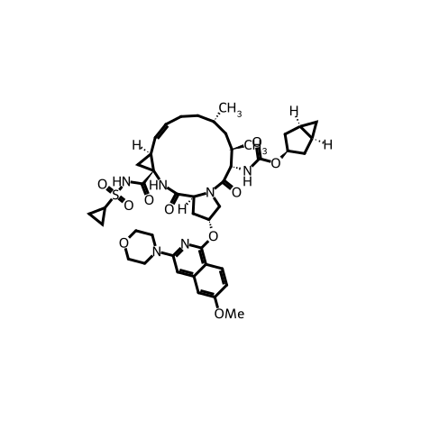 COc1ccc2c(O[C@@H]3C[C@H]4C(=O)N[C@]5(C(=O)NS(=O)(=O)C6CC6)C[C@H]5/C=C\CC[C@H](C)C[C@@H](C)[C@H](NC(=O)O[C@@H]5C[C@@H]6C[C@@H]6C5)C(=O)N4C3)nc(N3CCOCC3)cc2c1